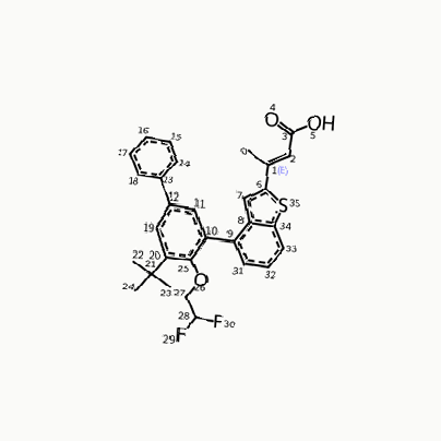 C/C(=C\C(=O)O)c1cc2c(-c3cc(-c4ccccc4)cc(C(C)(C)C)c3OCC(F)F)cccc2s1